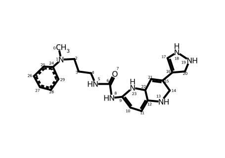 CN(CCCNC(=O)NC1=CC=C2NCC(C3=CNNC3)=CC2N1)c1ccccc1